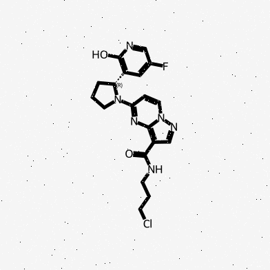 O=C(NCCCCl)c1cnn2ccc(N3CCC[C@@H]3c3cc(F)cnc3O)nc12